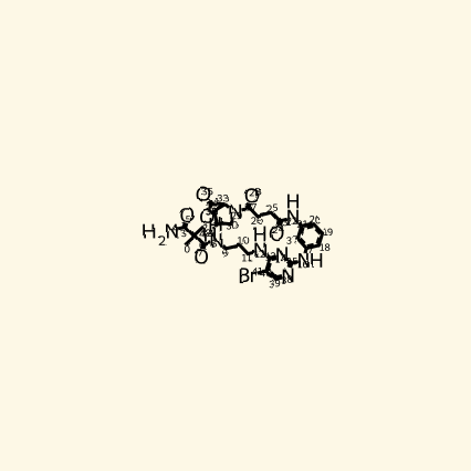 CC(C)(C(N)=O)C(=O)NCCCNc1nc(Nc2cccc(NC(=O)CCC(=O)N3C[C@@H]4CC3C(=O)O4)c2)ncc1Br